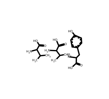 CC(C)C(N)C(=O)O.CC(C)C(N)C(=O)O.NC(Cc1ccc(O)cc1)C(=O)O